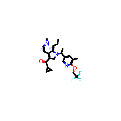 C=N/C=C\C1=C(C(=O)C2CC2)CN(C(C)c2cnc(OCC(F)(F)F)c(C)c2)/C1=C\CC